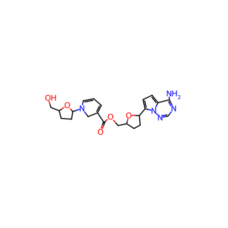 Nc1ncnn2c(C3CCC(COC(=O)C4=CC=CN(C5CCC(CO)O5)C4)O3)ccc12